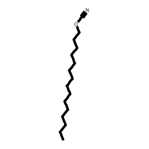 CCCCCCCCCCCCCCCOC#N